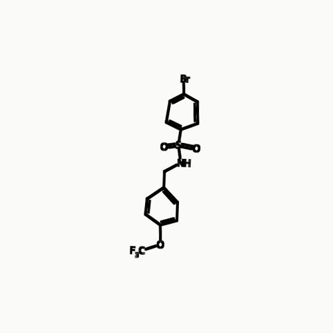 O=S(=O)(NCc1ccc(OC(F)(F)F)cc1)c1ccc(Br)cc1